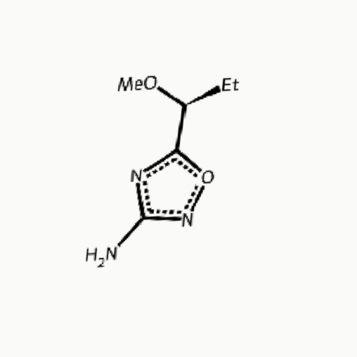 CC[C@H](OC)c1nc(N)no1